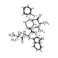 CN(C)N(C)C(=O)[C@]1(Cc2ccccc2)CCCN(C(=O)[C@@H](Cc2c[nH]c3ccccc23)NC(=O)C(C)(C)N)C1